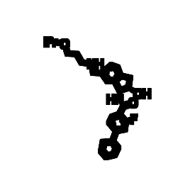 CC(C)OCCCNCc1ccc2c(c1)[C@@H](NC(=O)c1ccc(-c3ccccc3)cc1F)[C@H](O)C2